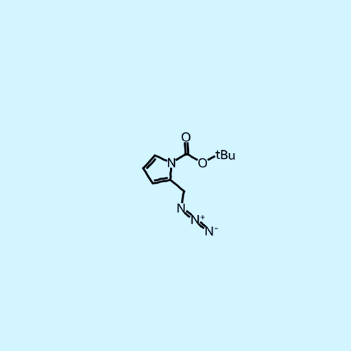 CC(C)(C)OC(=O)n1cccc1CN=[N+]=[N-]